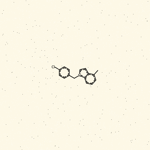 Cc1cccc2c1ccn2Cc1ccc(Cl)cc1